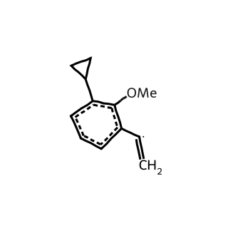 C=[C]c1cccc(C2CC2)c1OC